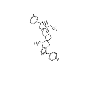 CC(CN(C[C@H]1CCC2=C1[C@@H](C)c1cnn(-c3ccc(F)cc3)c1C2)S(=O)(=O)CC(F)(F)F)c1cccnc1